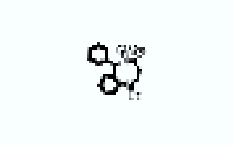 CCN1CCC(=O)N(OC)C(c2ccccc2)c2ccccc21